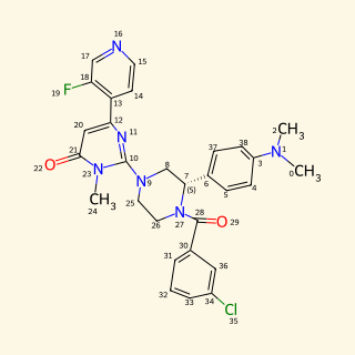 CN(C)c1ccc([C@H]2CN(c3nc(-c4ccncc4F)cc(=O)n3C)CCN2C(=O)c2cccc(Cl)c2)cc1